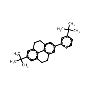 CC(C)(C)c1ccnc(-c2cc3c4c(c2)CCc2cc(C(C)(C)C)cc(c2-4)CC3)c1